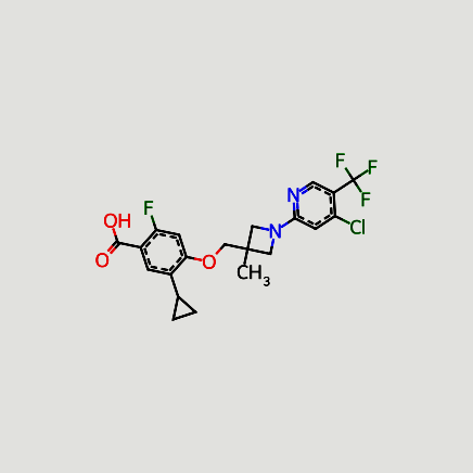 CC1(COc2cc(F)c(C(=O)O)cc2C2CC2)CN(c2cc(Cl)c(C(F)(F)F)cn2)C1